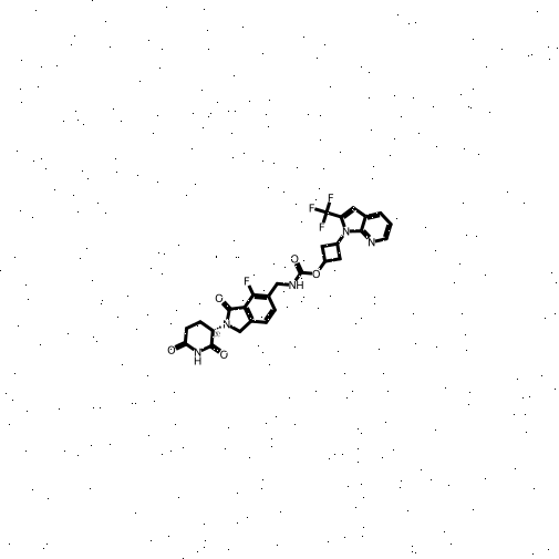 O=C1CC[C@H](N2Cc3ccc(CNC(=O)OC4CC(n5c(C(F)(F)F)cc6cccnc65)C4)c(F)c3C2=O)C(=O)N1